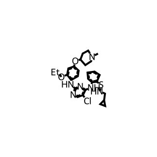 CCOc1cc(OC2CCN(C)CC2)ccc1Nc1ncc(Cl)c(Nc2ccccc2SNCC2CC2)n1